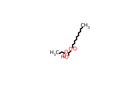 CCCCCCCCCCCC(=O)OCC(CO)OC(=O)CCC